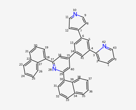 c1ccc(-c2cc(-c3ccncc3)cc(-c3cc(-c4cccc5ccccc45)nc(-c4cccc5ccccc45)c3)c2)nc1